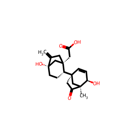 C=C1C[C@]2(CC(=O)O)C[C@@]1(O)CC[C@H]2[C@@]12C=C[C@@H](O)[C@](C)(C1)C(=O)C2